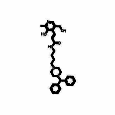 Cc1ncc(CO)c(/C=C/C(=O)NCCCCN2CCN(C(c3ccccc3)c3ccccc3)CC2)c1O